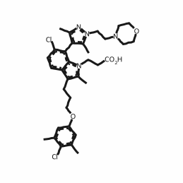 Cc1cc(OCCCc2c(C)n(CCC(=O)O)c3c(-c4c(C)nn(CCN5CCOCC5)c4C)c(Cl)ccc23)cc(C)c1Cl